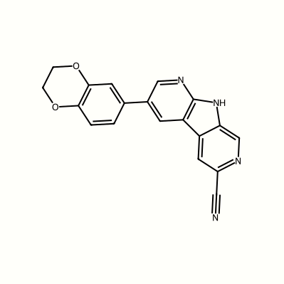 N#Cc1cc2c(cn1)[nH]c1ncc(-c3ccc4c(c3)OCCO4)cc12